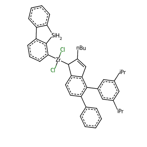 CCCCC1=Cc2c(ccc(-c3ccccc3)c2-c2cc(C(C)C)cc(C(C)C)c2)[CH]1[Zr]([Cl])([Cl])[c]1cccc2c1[SiH2]c1ccccc1-2